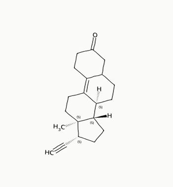 C#C[C@H]1CC[C@H]2[C@@H]3CCC4CC(=O)CCC4=C3CC[C@]12C